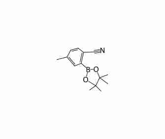 Cc1ccc(C#N)c(B2OC(C)(C)C(C)(C)O2)c1